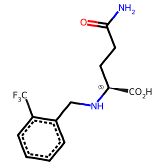 NC(=O)CC[C@H](NCc1ccccc1C(F)(F)F)C(=O)O